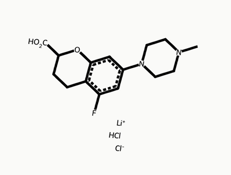 CN1CCN(c2cc(F)c3c(c2)OC(C(=O)O)CC3)CC1.Cl.[Cl-].[Li+]